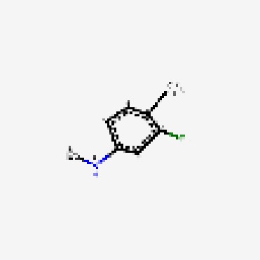 CCNc1ccc(C(F)(F)F)c(F)c1